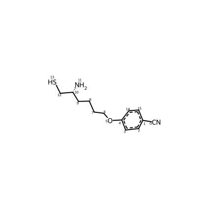 N#Cc1ccc(OCCCC[C@@H](N)CS)cc1